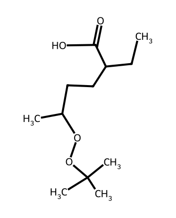 CCC(CCC(C)OOC(C)(C)C)C(=O)O